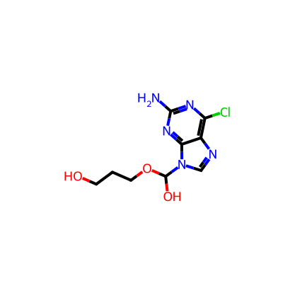 Nc1nc(Cl)c2ncn(C(O)OCCCO)c2n1